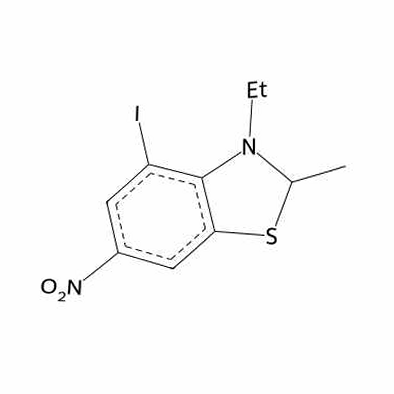 CCN1c2c(I)cc([N+](=O)[O-])cc2SC1C